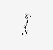 COc1ccc(COC(=O)CCCCC(=O)OCc2ccc(OC)cc2)cc1